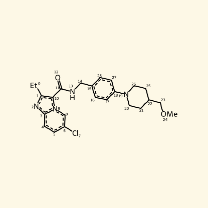 CCc1nc2ccc(Cl)cn2c1C(=O)NCc1ccc(N2CCC(COC)CC2)cc1